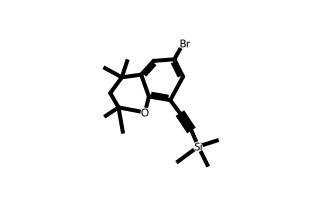 CC1(C)CC(C)(C)c2cc(Br)cc(C#C[Si](C)(C)C)c2O1